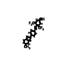 Cc1ccc2nc(-c3ccc(/N=N/c4c(C(F)(F)F)cc(O)cc4C(F)(F)F)cc3)sc2c1